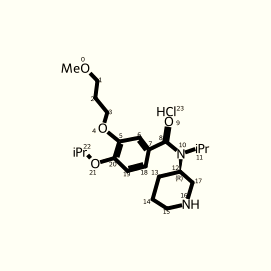 COCCCOc1cc(C(=O)N(C(C)C)[C@@H]2CCCNC2)ccc1OC(C)C.Cl